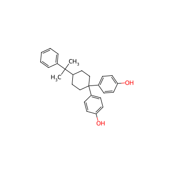 CC(C)(c1ccccc1)C1CCC(c2ccc(O)cc2)(c2ccc(O)cc2)CC1